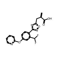 C=C(Cc1nc(-c2ccc(Oc3ccccn3)cc2C(F)F)no1)C(=O)O